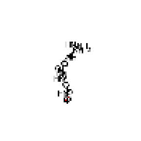 N=C(N)NCCCNCc1ccc(-c2cn3cc(-c4ccc(C(=O)NC5CN6CCC5CC6)cc4)[nH]c3nc2=O)cc1